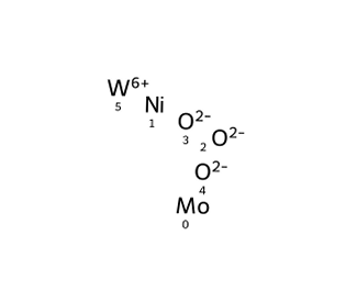 [Mo].[Ni].[O-2].[O-2].[O-2].[W+6]